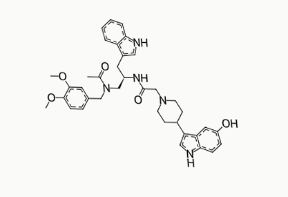 COc1ccc(CN(C[C@@H](Cc2c[nH]c3ccccc23)NC(=O)CN2CCC(c3c[nH]c4ccc(O)cc34)CC2)C(C)=O)cc1OC